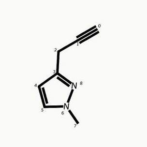 C#CCc1ccn(C)n1